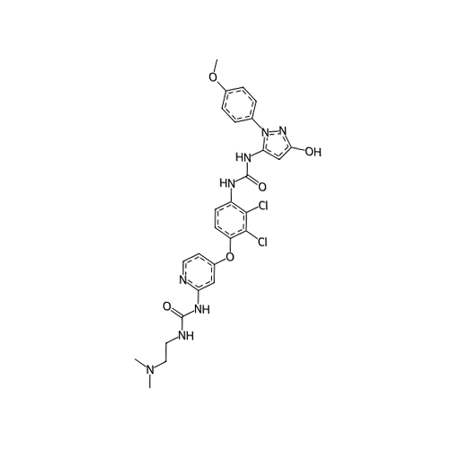 COc1ccc(-n2nc(O)cc2NC(=O)Nc2ccc(Oc3ccnc(NC(=O)NCCN(C)C)c3)c(Cl)c2Cl)cc1